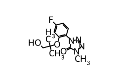 Cn1nnn(-c2ccc(F)cc2OC(C)(C)CO)c1=O